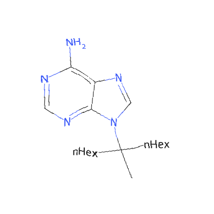 CCCCCCC(C)(CCCCCC)n1cnc2c(N)ncnc21